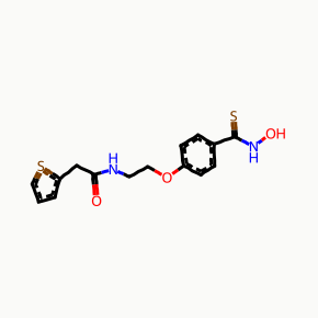 O=C(Cc1cccs1)NCCOc1ccc(C(=S)NO)cc1